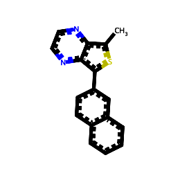 Cc1sc(-c2ccc3ccccc3c2)c2nccnc12